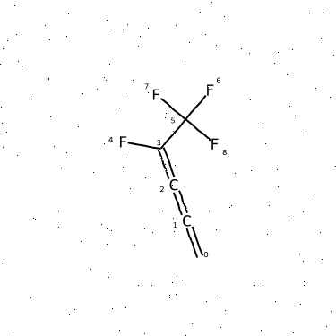 C=C=C=C(F)C(F)(F)F